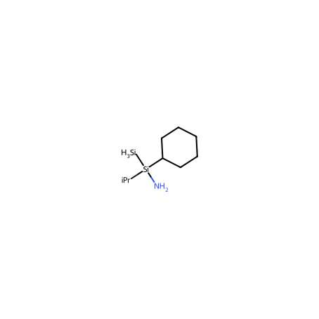 CC(C)[Si](N)([SiH3])C1CCCCC1